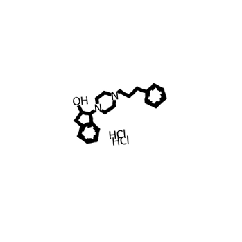 Cl.Cl.OC1Cc2ccccc2C1N1CCN(CCCc2ccccc2)CC1